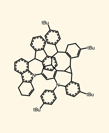 CC(C)(C)C1=CC2=C(CC1)C(c1ccc(C(C)(C)C)cc1)CC1CC(n3c4c(c5cccc(C6c7ccccc7-c7ccccc76)c53)CCC=C4)=CC3=C1C1C2C1c1cc(C(C)(C)C)ccc1N3c1ccc(C(C)(C)C)cc1